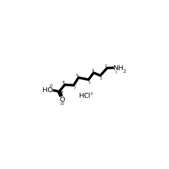 Cl.NCCCCCCCC(=O)O